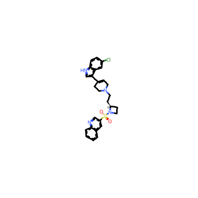 O=S(=O)(c1cnc2ccccc2c1)N1CC[C@@H]1CCN1CC=C(c2c[nH]c3ccc(Cl)cc23)CC1